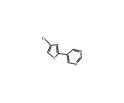 CCc1csc(-c2cncnc2)c1